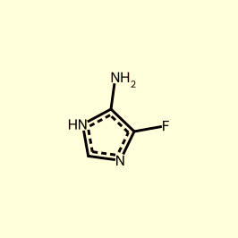 Nc1[nH]cnc1F